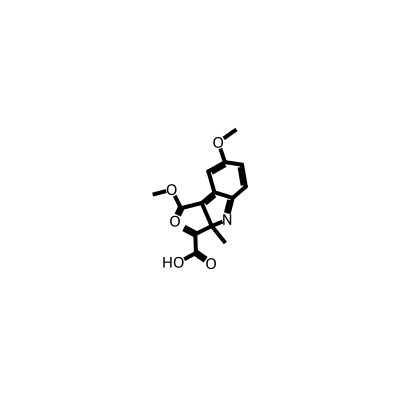 C=C(C(=O)O)C1(C)N=c2ccc(OC)cc2=C1C(=O)OC